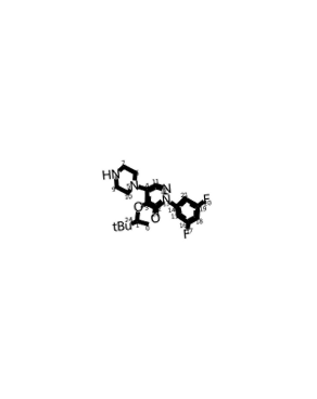 CC(Oc1c(N2CCNCC2)cnn(-c2cc(F)cc(F)c2)c1=O)C(C)(C)C